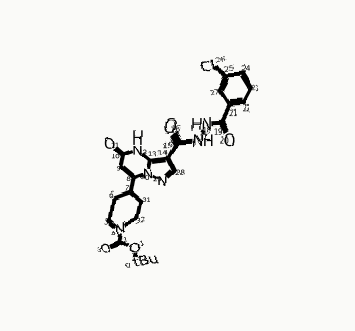 CC(C)(C)OC(=O)N1CCC(c2cc(=O)[nH]c3c(C(=O)NNC(=O)c4cccc(Cl)c4)cnn23)CC1